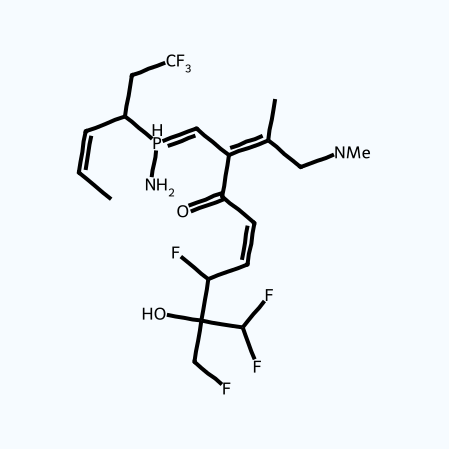 C/C=C\C(CC(F)(F)F)/[PH](N)=C/C(C(=O)/C=C\C(F)C(O)(CF)C(F)F)=C(\C)CNC